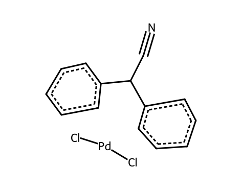 N#CC(c1ccccc1)c1ccccc1.[Cl][Pd][Cl]